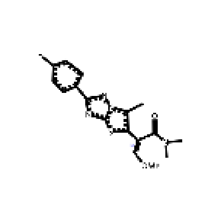 CO/C=C(\C(=O)N(C)C)c1sc2nc(-c3ccc(F)cc3)nn2c1C